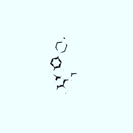 Cc1nc(Nc2ccc(N3CCN(C)CC3)cc2)nc(NC(C)C)c1[N+](=O)[O-]